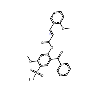 COc1ccccc1/C=C/C(=O)Oc1cc(OC)c(S(=O)(=O)O)cc1C(=O)c1ccccc1